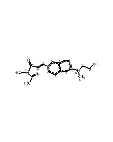 CC1=N/C(=C\c2ccc3cc(N(C)CCO)ccc3c2)C(=O)N1C